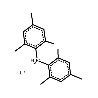 Cc1cc(C)c([BH2-]c2c(C)cc(C)cc2C)c(C)c1.[Li+]